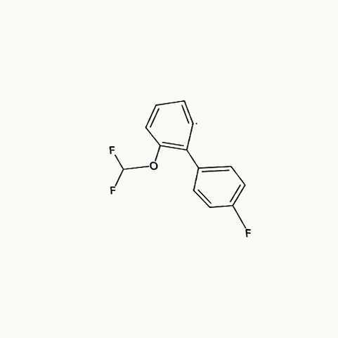 Fc1ccc(-c2[c]cccc2OC(F)F)cc1